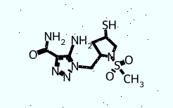 CS(=O)(=O)N1CC(S)CC1Cn1nnc(C(N)=O)c1N